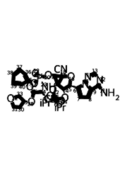 CC(C)C(=O)O[C@H]1[C@H](c2ccc3c(N)ncnn23)O[C@]2(C#N)[C@@H](O[P@@](=O)(N[C@@H](C)C(=O)O[C@@H]3CCOC3)Oc3ccccc3)[C@]12OC(=O)C(C)C